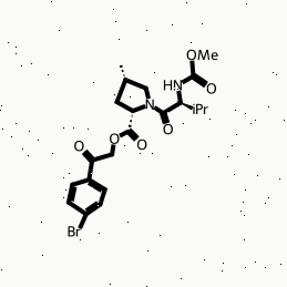 COC(=O)N[C@H](C(=O)N1C[C@@H](C)C[C@H]1C(=O)OCC(=O)c1ccc(Br)cc1)C(C)C